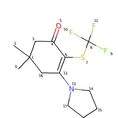 CC1(C)CC(=O)C(SC(F)(F)F)=C(N2CCCC2)C1